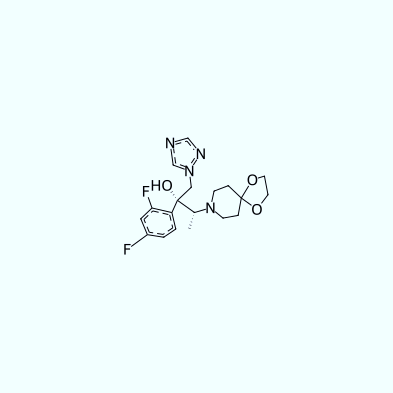 C[C@@H](N1CCC2(CC1)OCCO2)[C@](O)(Cn1cncn1)c1ccc(F)cc1F